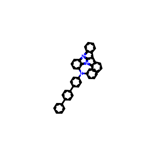 c1ccc(-c2ccc(-c3ccc(N(c4ccccc4)c4cccc5c4n4c6ccccc6c6c7ccccc7n5c64)cc3)cc2)cc1